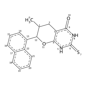 CC1Cc2c([nH]c(=S)[nH]c2=O)OC1c1cccc2ccccc12